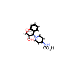 O=C(O)NC1CCN([C@@H]2c3ccccc3OC[C@H]2O)CC1